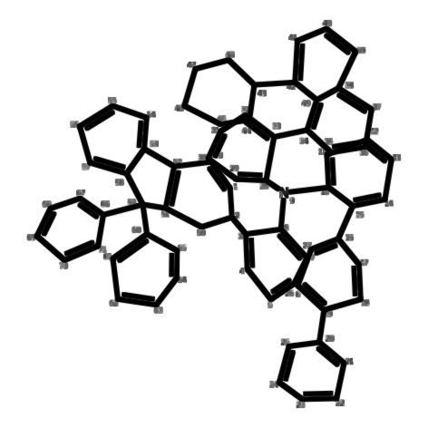 C1=CC(c2ccccc2N(c2ccccc2-c2ccc(-c3ccccc3)cc2)c2ccccc2-c2cccc3cccc(C4CCCCC4)c23)CC2=C1c1ccccc1C2(c1ccccc1)c1ccccc1